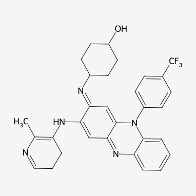 CC1=C(Nc2cc3nc4ccccc4n(-c4ccc(C(F)(F)F)cc4)c-3c/c2=N\C2CCC(O)CC2)CCC=N1